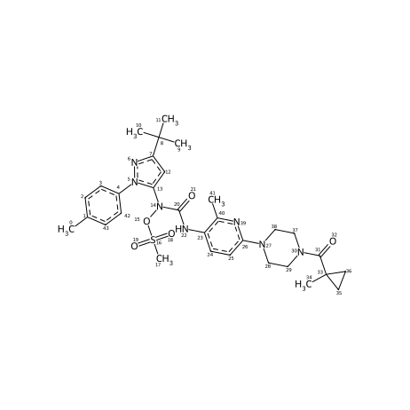 Cc1ccc(-n2nc(C(C)(C)C)cc2N(OS(C)(=O)=O)C(=O)Nc2ccc(N3CCN(C(=O)C4(C)CC4)CC3)nc2C)cc1